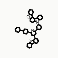 c1ccc(-c2ccc(-c3cc(-c4cccc5c4sc4ccccc45)cc(-c4cccc(-n5c6ccccc6c6c7c(ccc65)oc5ccccc57)c4)n3)cc2)cc1